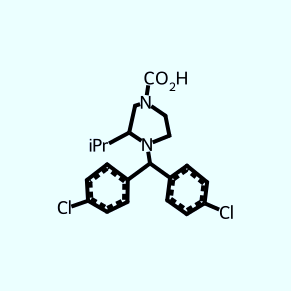 CC(C)C1CN(C(=O)O)CCN1C(c1ccc(Cl)cc1)c1ccc(Cl)cc1